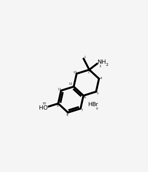 Br.CC1(N)CCc2ccc(O)cc2C1